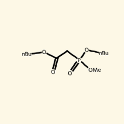 CCCCOC(=O)CP(=O)(OC)OCCCC